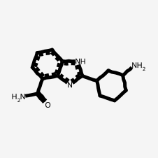 NC(=O)c1cccc2[nH]c(C3CCCC(N)C3)nc12